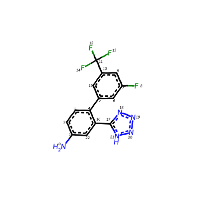 Nc1ccc(-c2cc(F)cc(C(F)(F)F)c2)c(-c2nnn[nH]2)c1